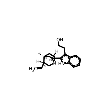 C=C[C@H]1CN2CC[C@H]1C[C@@H]2c1[nH]c2ccccc2c1CCO